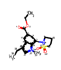 CCOC(=O)c1cc(N2CCCS2(=O)=O)c2c(c1)c(CC)cn2C